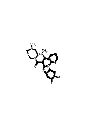 CNc1c(C(=O)N2CCCN(C)CC2)c2nc3cc(F)c(F)cc3n2c2ncccc12